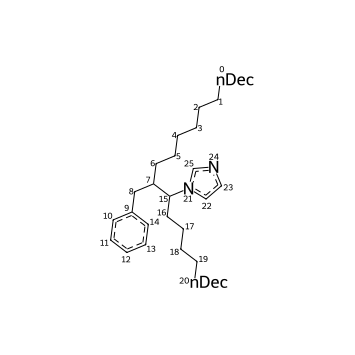 CCCCCCCCCCCCCCCCC(Cc1ccccc1)C(CCCCCCCCCCCCCC)n1ccnc1